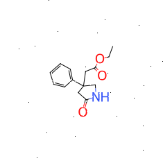 CCOC(=O)CC1(c2ccccc2)CNC(=O)C1